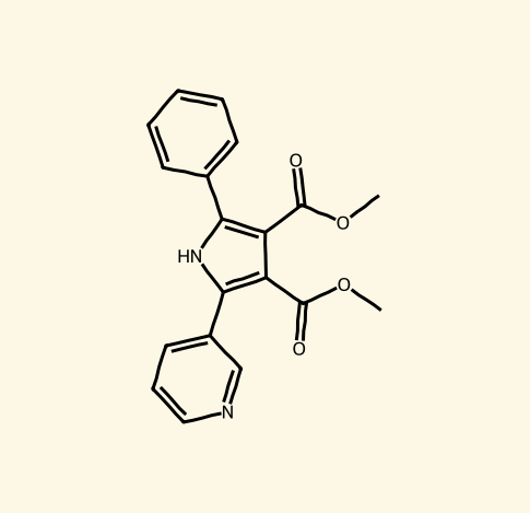 COC(=O)c1c(-c2ccccc2)[nH]c(-c2cccnc2)c1C(=O)OC